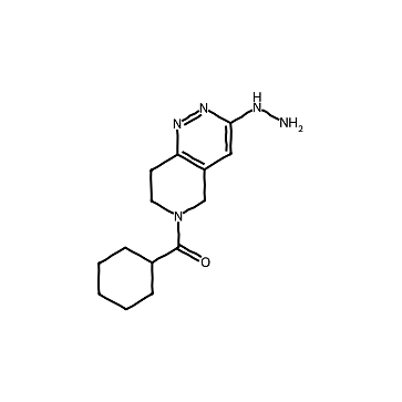 NNc1cc2c(nn1)CCN(C(=O)C1CCCCC1)C2